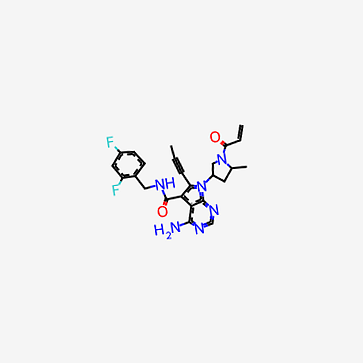 C=CC(=O)N1CC(n2c(C#CC)c(C(=O)NCc3ccc(F)cc3F)c3c(N)ncnc32)CC1C